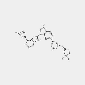 Cc1cn(-c2cccc3[nH]c(-c4n[nH]c5ccc(-c6cncc(CN7CCC(F)(F)C7)c6)nc45)cc23)cn1